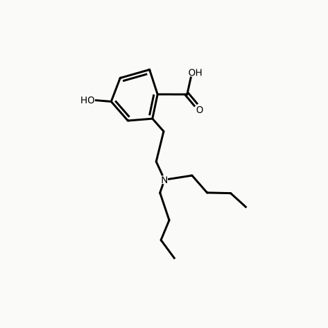 CCCCN(CCCC)CCc1cc(O)ccc1C(=O)O